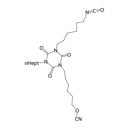 CCCCCCCn1c(=O)n(CCCCCCN=C=O)c(=O)n(CCCCCCOC#N)c1=O